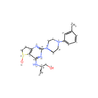 Cc1cccc(N2CCN(c3nc4c(c(N[C@@H](CO)C(C)C)n3)[S+]([O-])CC4)CC2)c1